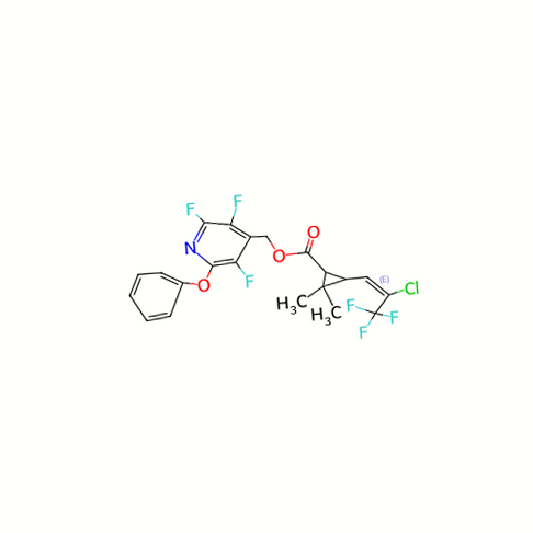 CC1(C)C(/C=C(/Cl)C(F)(F)F)C1C(=O)OCc1c(F)c(F)nc(Oc2ccccc2)c1F